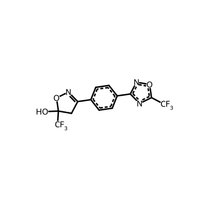 OC1(C(F)(F)F)CC(c2ccc(-c3noc(C(F)(F)F)n3)cc2)=NO1